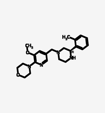 COc1cc(CN2CCN[C@H](c3ccccc3C)C2)cnc1N1CCOCC1